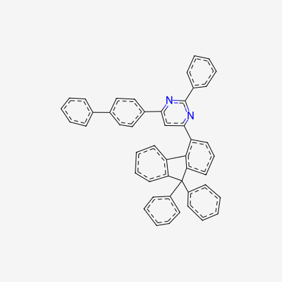 c1ccc(-c2ccc(-c3cc(-c4cccc5c4-c4ccccc4C5(c4ccccc4)c4ccccc4)nc(-c4ccccc4)n3)cc2)cc1